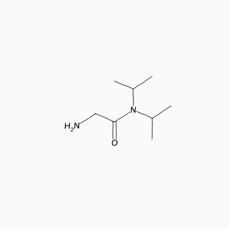 CC(C)N(C(=O)CN)C(C)C